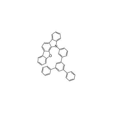 c1ccc(-c2cc(-c3ccccc3)cc(-c3cccc(-n4c5ccccc5c5ccc6c7ccccc7oc6c54)c3)c2)cc1